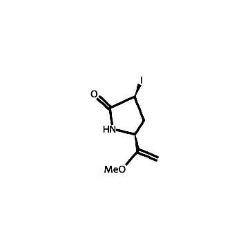 C=C(OC)[C@@H]1C[C@H](I)C(=O)N1